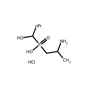 CCCC(O)P(=O)(O)CC(C)N.Cl